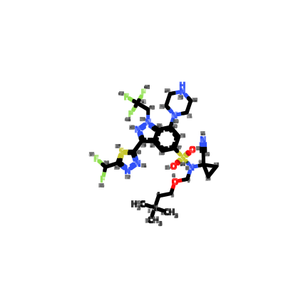 C[Si](C)(C)CCOCN(C1(C#N)CC1)S(=O)(=O)c1cc(N2CCNCC2)c2c(c1)c(-c1nnc(C(F)F)s1)nn2CC(F)(F)F